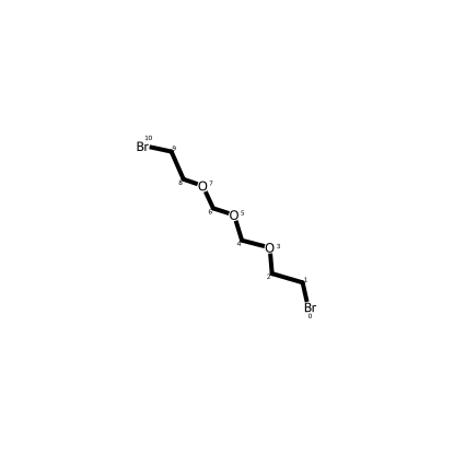 BrCCOCOCOCCBr